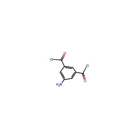 Nc1cc(C(=O)Cl)cc(C(=O)Cl)c1